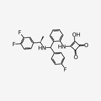 C[C@@H](NC(c1ccc(F)cc1)c1ccccc1Nc1c(O)c(=O)c1=O)c1ccc(F)c(F)c1